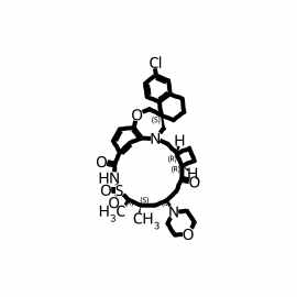 C[C@@H]1[C@@H](C)C[C@H](N2CCOCC2)CC(=O)[C@@H]2CC[C@H]2CN2C[C@@]3(CCCc4cc(Cl)ccc43)COc3ccc(cc32)C(=O)NS1(=O)=O